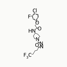 O=C(COc1ccc(Cl)c(F)c1)NC1CCN(c2nnc(CCCC(F)(F)F)o2)CC1